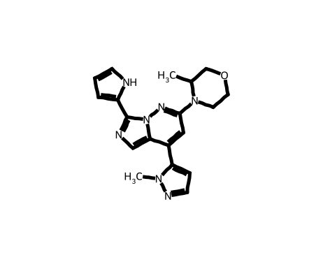 CC1COCCN1c1cc(-c2ccnn2C)c2cnc(-c3ccc[nH]3)n2n1